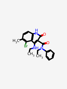 CCNc1c(C(=O)N(CC)c2ccccc2)c(=O)[nH]c2ccc(C)c(Br)c12